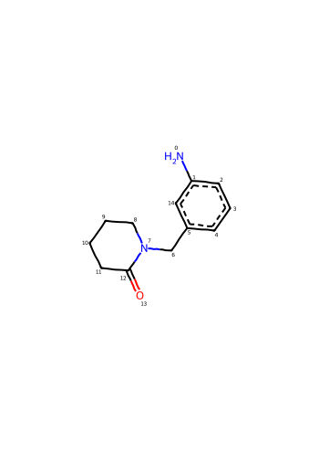 Nc1cccc(CN2CCCCC2=O)c1